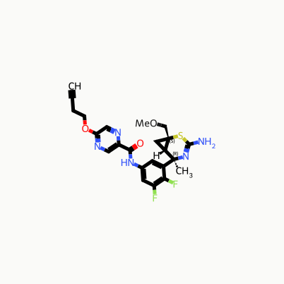 C#CCCOc1cnc(C(=O)Nc2cc(F)c(F)c([C@]3(C)N=C(N)S[C@@]4(COC)C[C@H]43)c2)cn1